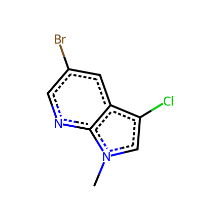 Cn1cc(Cl)c2cc(Br)cnc21